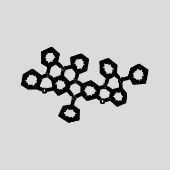 c1ccc(N2c3ccccc3B3c4cc5c(cc4Oc4cccc2c43)N(c2ccccc2)c2cc3c4c6c2B5c2ccccc2N6c2ccccc2B4c2ccccc2O3)cc1